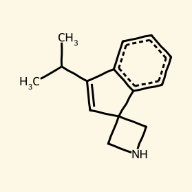 CC(C)C1=CC2(CNC2)c2ccccc21